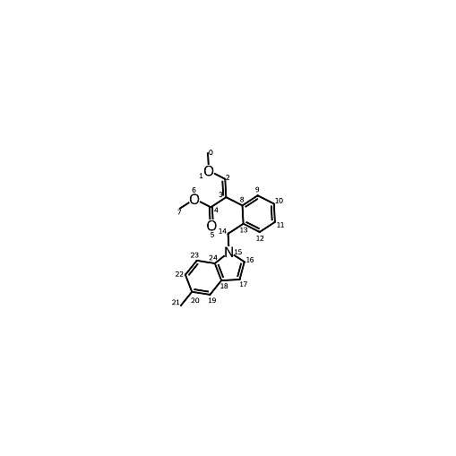 COC=C(C(=O)OC)c1ccccc1Cn1ccc2cc(C)ccc21